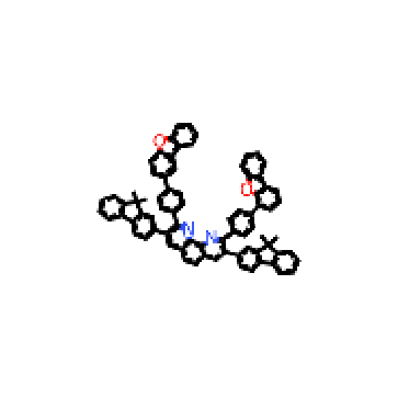 CC1(C)c2ccccc2-c2ccc(-c3cc4ccc5cc(-c6ccc7c(c6)C(C)(C)c6ccccc6-7)c(-c6ccc(-c7cccc8c7oc7ccccc78)cc6)nc5c4nc3-c3ccc(-c4ccc5oc6ccccc6c5c4)cc3)cc21